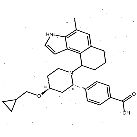 Cc1cc2c(c3cc[nH]c13)C(N1CC[C@H](OCC3CC3)C[C@H]1c1ccc(C(=O)O)cc1)CCC2